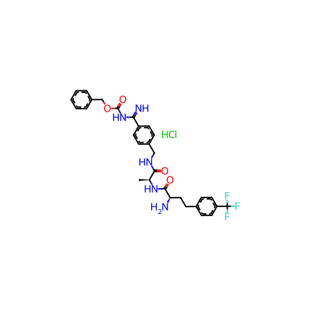 C[C@H](NC(=O)[C@H](N)CCc1ccc(C(F)(F)F)cc1)C(=O)NCc1ccc(C(=N)NC(=O)OCc2ccccc2)cc1.Cl